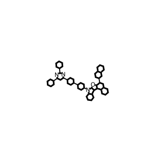 c1ccc(-c2cc(-c3ccc(-c4ccc(-n5c6ccccc6c6c7c(oc65)c(-c5ccc6ccccc6c5)cc5ccccc57)cc4)cc3)nc(-c3ccccc3)n2)cc1